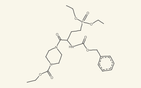 CCOC(=O)N1CCN(C(=O)C(CCP(=O)(OCC)OCC)NC(=O)OCc2ccccc2)CC1